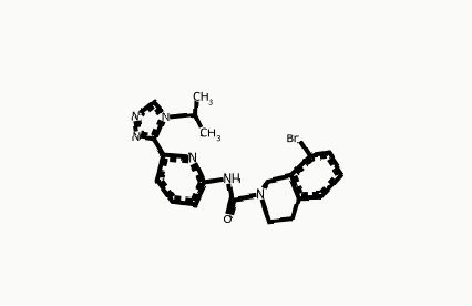 CC(C)n1cnnc1-c1cccc(NC(=O)N2CCc3cccc(Br)c3C2)n1